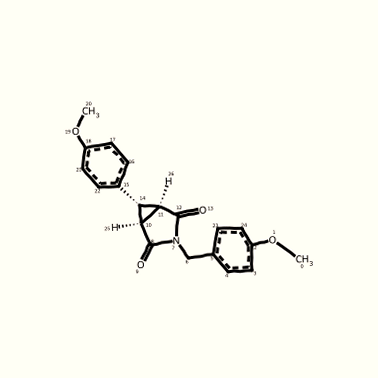 COc1ccc(CN2C(=O)[C@@H]3[C@H](C2=O)[C@H]3c2ccc(OC)cc2)cc1